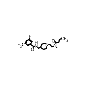 CN(CCN1CCC(CNC(=O)c2cc(F)cc(C(F)(F)F)c2)CC1)C(=O)CCC(F)(F)F